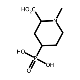 CN1CCC(P(=O)(O)O)CC1C(=O)O